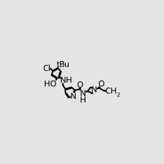 C=CC(=O)N1CC(NC(=O)c2cc(CNc3cc(C(C)(C)C)c(Cl)cc3O)ccn2)C1